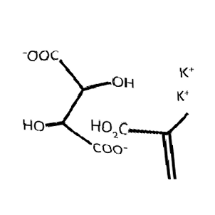 C=C(C)C(=O)O.O=C([O-])C(O)C(O)C(=O)[O-].[K+].[K+]